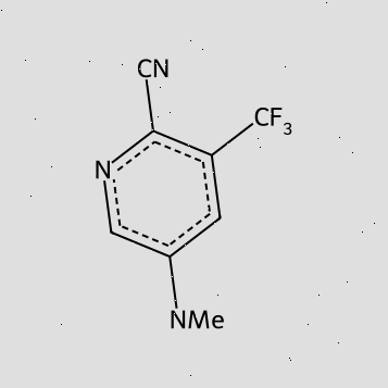 CNc1cnc(C#N)c(C(F)(F)F)c1